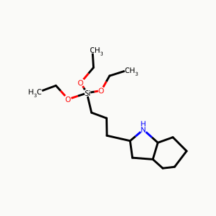 CCO[Si](CCCC1CC2CCCCC2N1)(OCC)OCC